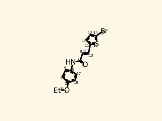 CCOc1ccc(NC(=O)/C=C/c2ccc(Br)s2)cc1